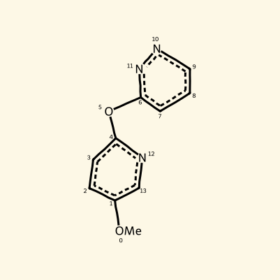 COc1ccc(Oc2cccnn2)nc1